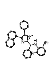 CC(C)c1cccc(C(C)C)c1NC(c1ccccc1)c1nc(-c2cccc3ccccc23)c(-c2ccccc2)n1C